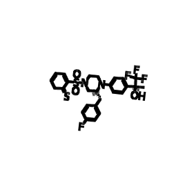 C[C@@](O)(c1ccc(N2CCN(S(=O)(=O)C3=CC=CCC3=S)C[C@H]2Cc2ccc(F)cc2)cc1)C(F)(F)F